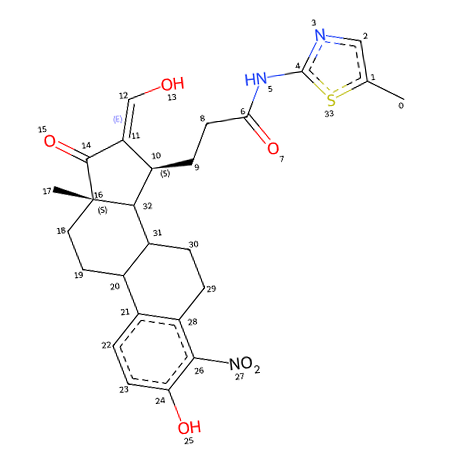 Cc1cnc(NC(=O)CC[C@@H]2/C(=C\O)C(=O)[C@@]3(C)CCC4c5ccc(O)c([N+](=O)[O-])c5CCC4C23)s1